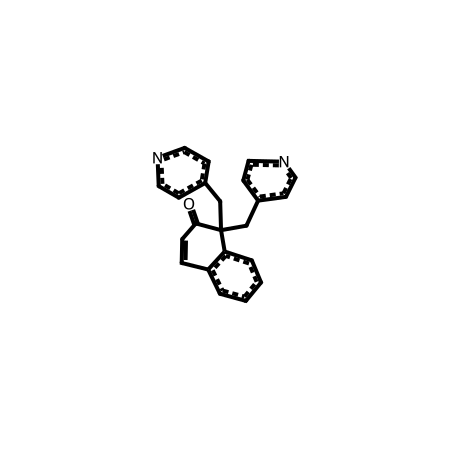 O=C1C=Cc2ccccc2C1(Cc1ccncc1)Cc1ccncc1